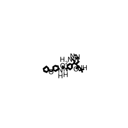 CC(C)(C)NC(=O)c1cn2ncnc(N)c2c1-c1ccc(NC(=O)Nc2cccc(Oc3ccccc3)c2)cc1